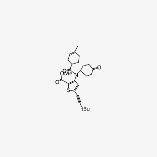 COC(=O)c1sc(C#CC(C)(C)C)cc1N(C(=O)[C@H]1CC=C(C)CC1)C1CCC(=O)CC1